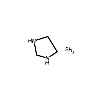 B.C1CNCN1